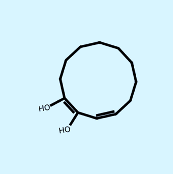 OC1=C(O)CCCCCCCCC=C1